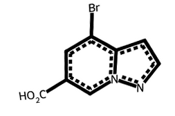 O=C(O)c1cc(Br)c2ccnn2c1